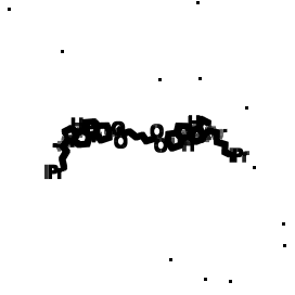 CC(C)CCC[C@@H](C)[C@H]1CC[C@H]2[C@@H]3CC=C4C[C@@H](OC(=O)CCCCC(=O)O[C@H]5CC[C@@]6(C)C(=CC[C@H]7[C@@H]8CC[C@H]([C@H](C)CCCC(C)C)[C@@]8(C)CC[C@@H]76)C5)CC[C@]4(C)[C@H]3CC[C@]12C